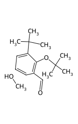 CC(C)(C)Oc1c(C=O)cccc1C(C)(C)C.CO